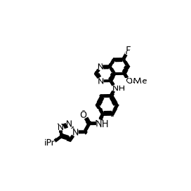 COc1cc(F)cc2ncnc(Nc3ccc(NC(=O)Cn4cc(C(C)C)nn4)cc3)c12